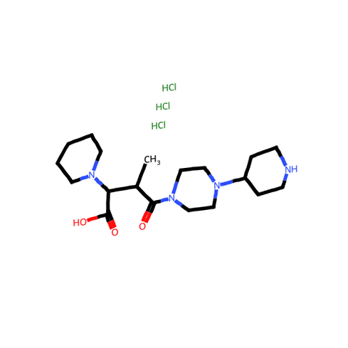 CC(C(=O)N1CCN(C2CCNCC2)CC1)C(C(=O)O)N1CCCCC1.Cl.Cl.Cl